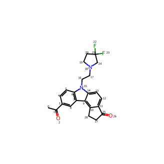 CC(=O)c1ccc2c(c1)c1c3c(ccc1n2CCN1CCC(F)(F)C1)C(=O)CC3